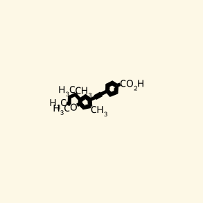 Cc1cc2c(cc1C#Cc1ccc(C(=O)O)cc1)C(C)(C)CC(C)(C)O2